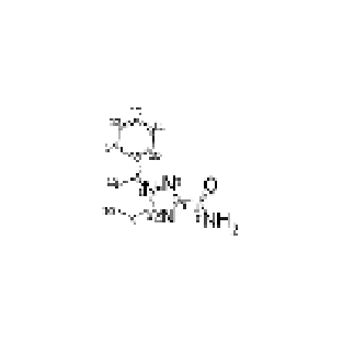 NC(=O)c1nc2n(n1)C(c1ccccc1)CCC2